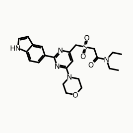 CCN(CC)C(=O)CS(=O)(=O)Cc1cc(N2CCOCC2)nc(-c2ccc3[nH]ccc3c2)n1